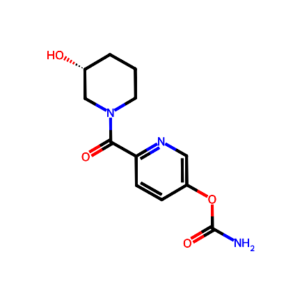 NC(=O)Oc1ccc(C(=O)N2CCC[C@@H](O)C2)nc1